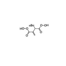 C=C(C(=O)OO)C(CCCC)C(=O)OO